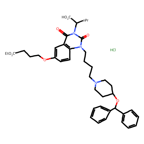 CCCC(C(=O)O)n1c(=O)c2cc(OCCCC(=O)OCC)ccc2n(CCCCN2CCC(OC(c3ccccc3)c3ccccc3)CC2)c1=O.Cl